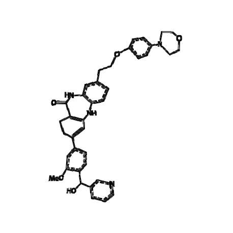 COc1cc(C2=CC3=C(CC2)C(=O)Nc2cc(CCOc4ccc(N5CCOCC5)cc4)ccc2N3)ccc1C(O)c1cccnc1